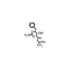 C[C@H](O)CNC[C@@H](O)[C@H](Cc1ccccc1)OC(N)=O